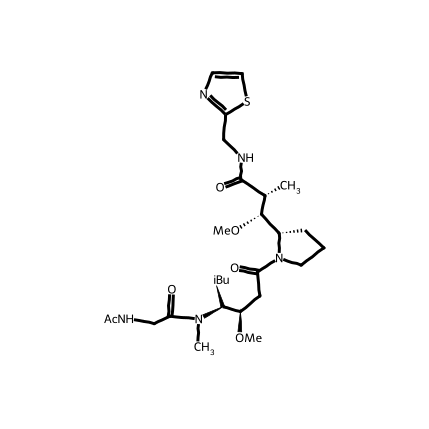 CC[C@H](C)[C@@H]([C@@H](CC(=O)N1CCC[C@H]1[C@H](OC)[C@@H](C)C(=O)NCc1nccs1)OC)N(C)C(=O)CNC(C)=O